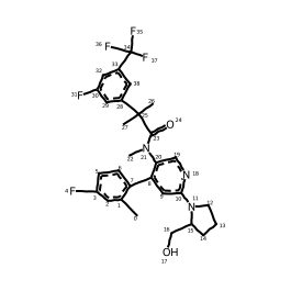 Cc1cc(F)ccc1-c1cc(N2CCCC2CO)ncc1N(C)C(=O)C(C)(C)c1cc(F)cc(C(F)(F)F)c1